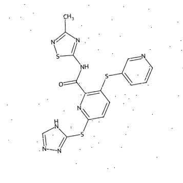 Cc1nsc(NC(=O)c2nc(Sc3nnc[nH]3)ccc2Sc2cccnc2)n1